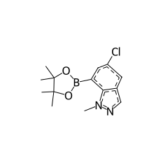 Cn1ncc2cc(Cl)cc(B3OC(C)(C)C(C)(C)O3)c21